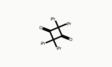 CC(C)C1(C(C)C)C(=O)C(C(C)C)(C(C)C)C1=O